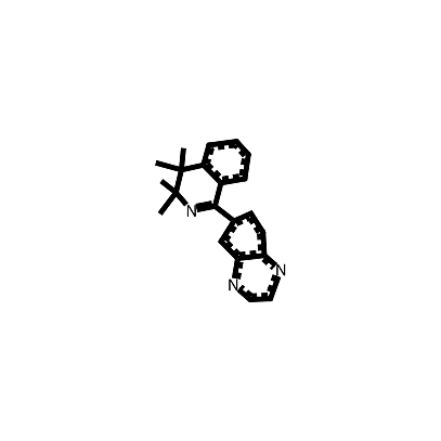 CC1(C)N=C(c2ccc3nccnc3c2)c2ccccc2C1(C)C